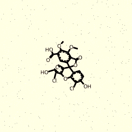 COc1c(C(=O)O)cc2c(c1OC)C(=O)OC21c2ccc(O)c(Cl)c2Oc2c1ccc(O)c2Cl